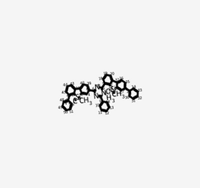 C[Si]1(C)c2cc(-c3nc(-c4ccccc4)nc(-c4cccc5c4[Si](C)(C)c4cc(-c6ccccc6)ccc4-5)n3)ccc2-c2cccc(-c3ccccc3)c21